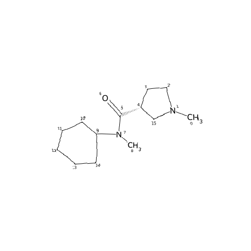 CN1CC[C@@H](C(=O)N(C)C2CCCCC2)C1